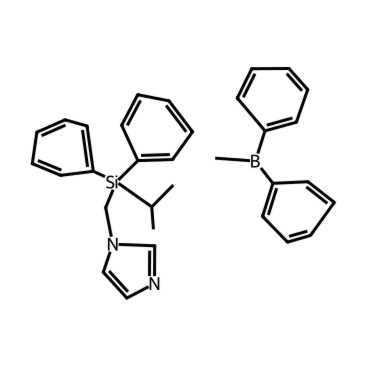 CB(c1ccccc1)c1ccccc1.CC(C)[Si](Cn1ccnc1)(c1ccccc1)c1ccccc1